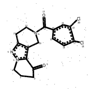 O=C1CCCn2nc3c(c21)CN(C(=O)c1ccc(Cl)c(Cl)c1)CC3